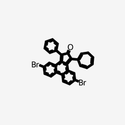 O=C1C(C2=CCC=CC=C2)=c2c(c3cc(Br)ccc3c3ccc(Br)cc23)=C1c1ccccc1